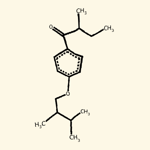 CCC(C)C(=O)c1ccc(OCC(C)C(C)C)cc1